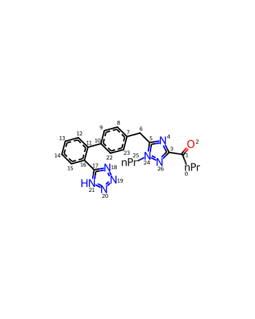 CCCC(=O)c1nc(Cc2ccc(-c3ccccc3-c3nnn[nH]3)cc2)n(CCC)n1